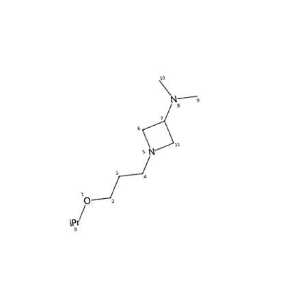 CC(C)OCCCN1CC(N(C)C)C1